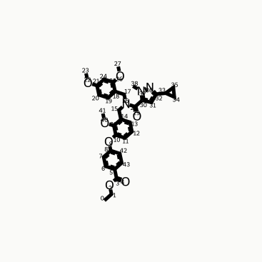 CCOC(=O)c1ccc(Oc2cccc(CN(Cc3ccc(OC)cc3OC)C(=O)c3cc(C4CC4)nn3C)c2OC)cc1